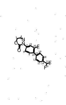 O=C1OCC=NN1c1ccc(-c2ccc(C(F)F)cc2)c(F)c1